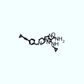 N#CCC1(n2cc(C(N)=O)c(NCC3CC3)n2)CCN(Cc2ccc(C#CC3CC3)cc2)CC1